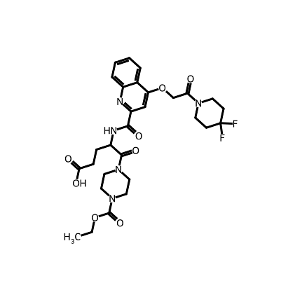 CCOC(=O)N1CCN(C(=O)C(CCC(=O)O)NC(=O)c2cc(OCC(=O)N3CCC(F)(F)CC3)c3ccccc3n2)CC1